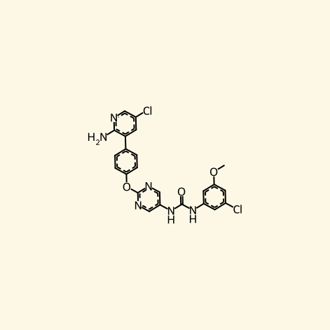 COc1cc(Cl)cc(NC(=O)Nc2cnc(Oc3ccc(-c4cc(Cl)cnc4N)cc3)nc2)c1